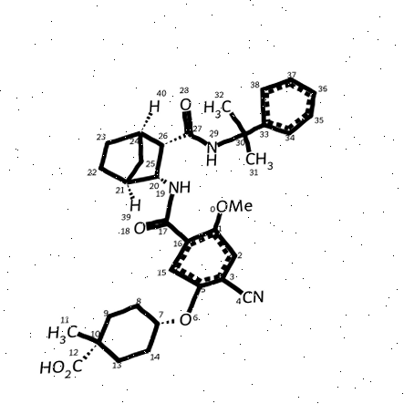 COc1cc(C#N)c(O[C@H]2CC[C@@](C)(C(=O)O)CC2)cc1C(=O)N[C@@H]1[C@H]2CC[C@H](C2)[C@@H]1C(=O)NC(C)(C)c1ccccc1